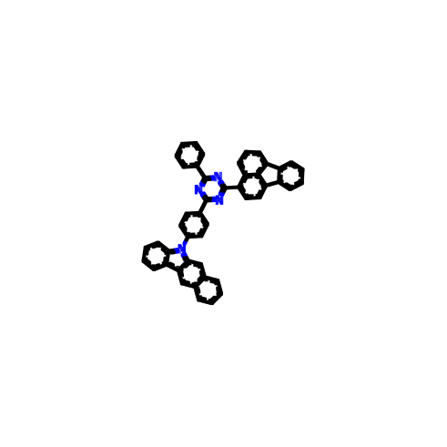 c1ccc(-c2nc(-c3ccc(-n4c5ccccc5c5cc6ccccc6cc54)cc3)nc(-c3ccc4c5c(cccc35)-c3ccccc3-4)n2)cc1